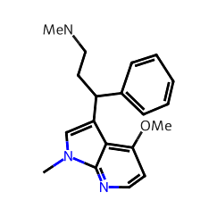 CNCCC(c1ccccc1)c1cn(C)c2nccc(OC)c12